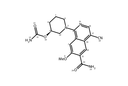 COc1cc2c(N3CCC[C@H](OC(N)=O)C3)ncc(C#N)c2cc1C(N)=O